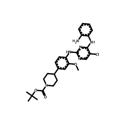 COc1cc(C2CCN(C(=O)OC(C)(C)C)CC2)ccc1Nc1ncc(Cl)c(Nc2ccccc2N)n1